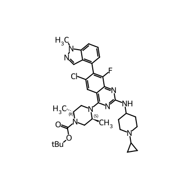 C[C@@H]1CN(c2nc(NC3CCN(C4CC4)CC3)nc3c(F)c(-c4cccc5c4cnn5C)c(Cl)cc23)[C@@H](C)CN1C(=O)OC(C)(C)C